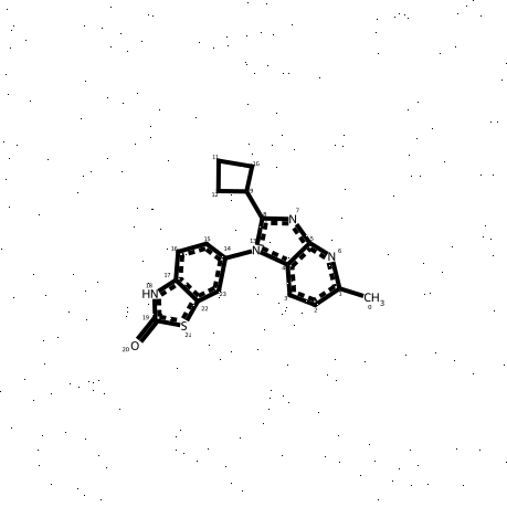 Cc1ccc2c(n1)nc(C1CCC1)n2-c1ccc2[nH]c(=O)sc2c1